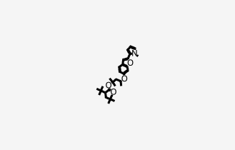 CC(CC(C)(C)OC(=O)C(CC(C)(C)C)C(C)(C)C)Oc1ccc2cc(-c3cccn3C)oc2c1